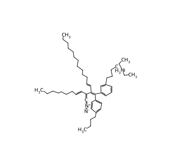 CCCCCCCC=CC(=C=[N+]=[N-])C(C=CCCCCCCCCCCC)=C(c1ccc(CCCC)cc1)c1cccc(CCCC)c1.C[CH2][Ni][CH2]C